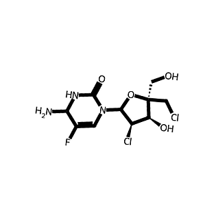 NC1NC(=O)N(C2O[C@@](CO)(CCl)[C@@H](O)[C@H]2Cl)C=C1F